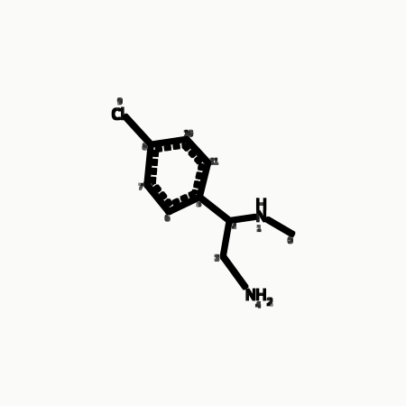 CNC(CN)c1ccc(Cl)cc1